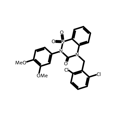 COc1ccc(N2C(=O)N(Cc3c(Cl)cccc3Cl)c3ccccc3S2(=O)=O)cc1OC